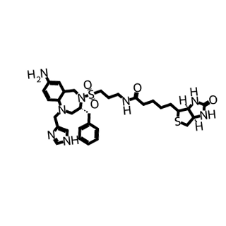 NC1=CC2CN(S(=O)(=O)CCCNC(=O)CCCCC3SC[C@@H]4NC(=O)N[C@H]34)[C@H](Cc3ccccc3)CN(Cc3c[nH]cn3)C2C=C1